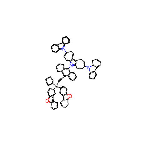 C(#C[Si](c1ccccc1)(c1ccc2oc3c(c2c1)C=CCC3)c1ccc2oc3ccccc3c2c1)c1c2ccccc2c(-n2c3c(c4c2=CC=C(n2c5c#cccc5c5ccccc52)CC=4)CC=C(N2c4ccccc4C4=CC=CCC42)C=C3)c2ccccc12